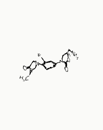 CN1CN(c2ccc(N3C[C@@H](CN)OC3=O)cc2F)CC1=O